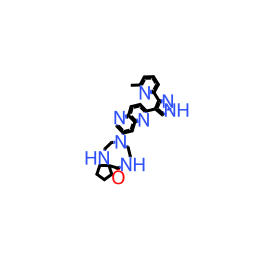 Cc1cccc(-c2n[nH]cc2-c2ccc3ncc(N4CCNC(=O)C5(CCCC5)NCC4)cc3n2)n1